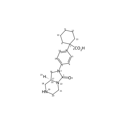 O=C1N(c2ccc(C3(C(=O)O)CCCCC3)cc2)C[C@@H]2CNCCN12